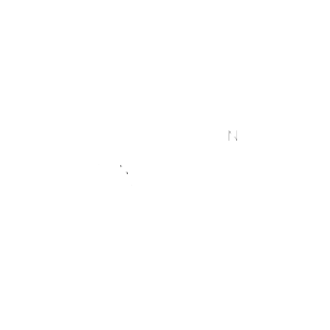 CN1C=CC(=CC=CC2=[N+](C)c3ccccc3C2)c2ccccc21